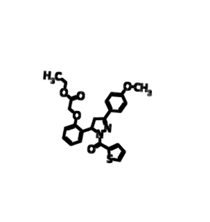 CCOC(=O)COc1ccccc1C1CC(c2ccc(OC)cc2)=NN1C(=O)c1cccs1